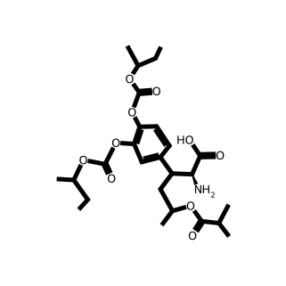 CCC(C)OC(=O)Oc1ccc(C(CC(C)OC(=O)C(C)C)[C@H](N)C(=O)O)cc1OC(=O)OC(C)CC